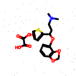 CN(C)CCC(Oc1cccc2c1OCO2)c1cccs1.O=C(O)C(=O)O